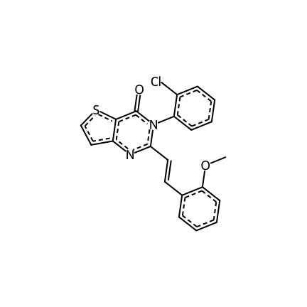 COc1ccccc1C=Cc1nc2ccsc2c(=O)n1-c1ccccc1Cl